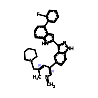 C=N/C=C(\C=C(/C)CN1CCCCC1)c1ccc2[nH]nc(-c3cc4c(-c5ccccc5F)cccc4[nH]3)c2c1